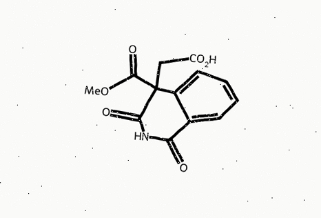 COC(=O)C1(CC(=O)O)C(=O)NC(=O)c2ccccc21